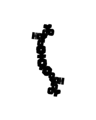 C=C(C)C(=O)OCC(O)COc1ccc(C2(C)CCC(C(C)(C)c3ccc(OCC(O)COC(=O)C(=C)C)cc3)CC2)cc1